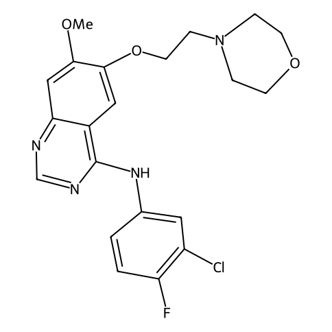 COc1cc2ncnc(Nc3ccc(F)c(Cl)c3)c2cc1OCCN1CCOCC1